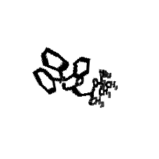 CC(CC(=O)C=P(c1ccccc1)(c1ccccc1)c1ccccc1)O[Si](C)(C)C(C)(C)C